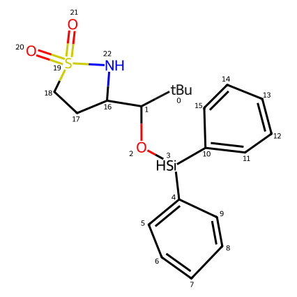 CC(C)(C)C(O[SiH](c1ccccc1)c1ccccc1)C1CCS(=O)(=O)N1